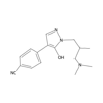 C[C]([CH]N(C)C)Cn1ncc(-c2ccc(C#N)cc2)c1O